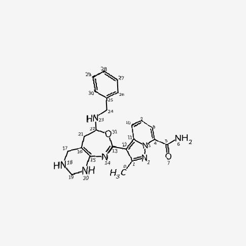 Cc1nn2c(C(N)=O)cccc2c1C1=NC2=C(CNCN2)CC(NCc2ccccc2)O1